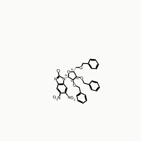 O=[N+]([O-])c1cc2nc(Cl)n([C@@H]3O[C@H](COCc4ccccc4)[C@@H](OCc4ccccc4)[C@H]3OCc3ccccc3)c2cc1[N+](=O)[O-]